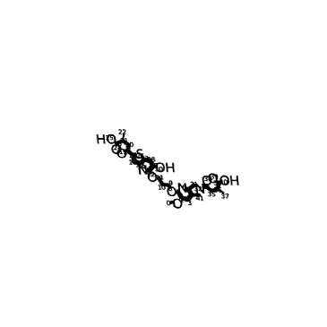 COc1cc2c(nc1OCCCOc1nc3cc(C(=O)C[C@H](C)C(=O)O)sc3cc1O)CN(C(=O)C[C@H](C)C(=O)O)C2